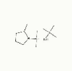 CC1CCCN1[Si](C)(C)N[Si](C)(C)C